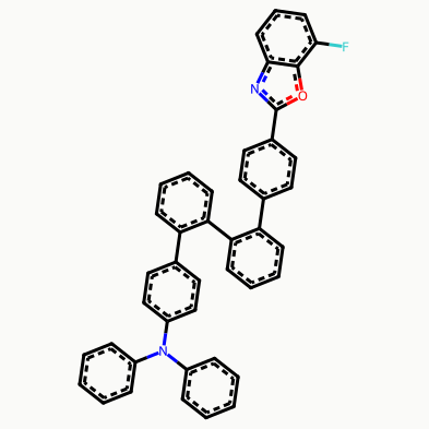 Fc1cccc2nc(-c3ccc(-c4ccccc4-c4ccccc4-c4ccc(N(c5ccccc5)c5ccccc5)cc4)cc3)oc12